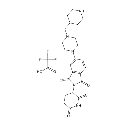 O=C(O)C(F)(F)F.O=C1CCC(N2C(=O)c3ccc(N4CCN(CC5CCNCC5)CC4)cc3C2=O)C(=O)N1